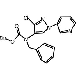 CC(C)(C)OC(=O)N(Cc1ccccc1)c1cn(-c2cccnc2)nc1Cl